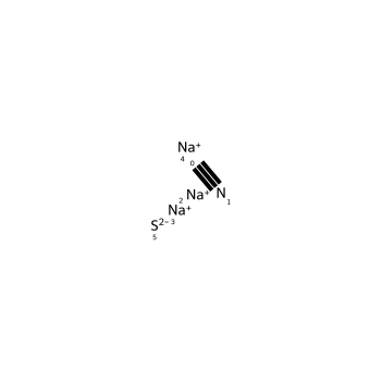 C#N.[Na+].[Na+].[Na+].[S-2]